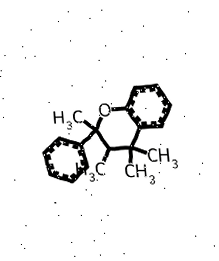 CC1C(C)(C)c2ccccc2OC1(C)c1ccccc1